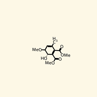 COC(=O)C1=C(C(=O)OC)[C@H](O)C(OC)C=C1C